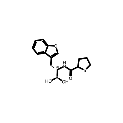 O=C(N[C@@H](Cc1coc2ccccc12)B(O)O)C1CCCS1